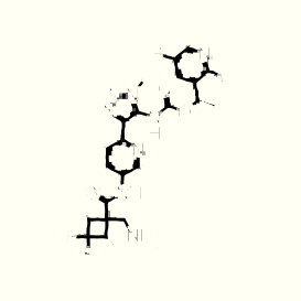 C[C@@H](OC(=O)Nc1c(-c2ccc(NC(=O)C3(CN)CC(F)(F)C3)cn2)nnn1C)c1cc(F)cnc1Cl